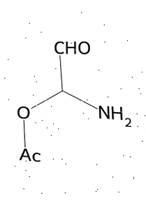 CC(=O)OC(N)C=O